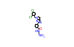 NCCNC(=O)c1cccc(-c2ncc3ccn(Cc4ccc(Cl)cc4Cl)c3n2)c1